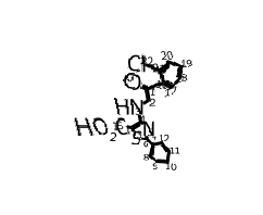 O=C(CNc1nc(-c2ccccc2)sc1C(=O)O)c1ccccc1Cl